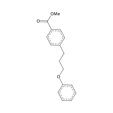 COC(=O)c1ccc(CCCOc2ccccc2)cc1